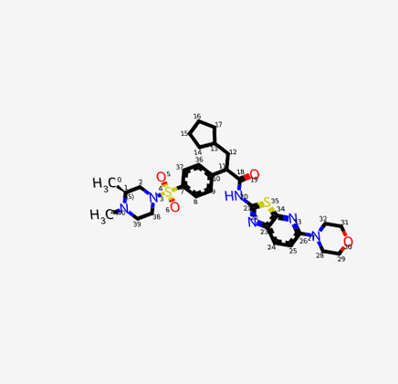 C[C@H]1CN(S(=O)(=O)c2ccc(C(CC3CCCC3)C(=O)Nc3nc4ccc(N5CCOCC5)nc4s3)cc2)CCN1C